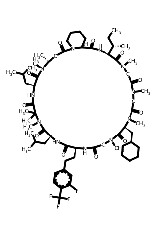 CC[C@H](C)[C@@H]1NC(=O)[C@@H]2CCCCN2C(=O)C[C@@H](C)N(C)C(=O)[C@H](CC(C)C)NC(=O)C(C)(C)N(C)C(=O)[C@H](CC(C)C)NC(=O)[C@H](CCc2ccc(C(F)(F)F)c(F)c2)NC(=O)CN(C)C(=O)[C@H](CC2CCCCC2)N(C)C(=O)CN(C)C(=O)CN(C)C1=O